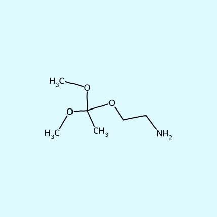 COC(C)(OC)OCCN